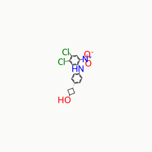 O=[N+]([O-])c1cc(Cl)c(Cl)cc1Nc1ccc([C@H]2C[C@H](O)C2)cc1